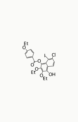 CCOc1ccc(C(=O)Oc2c(OCC)c(OCC)c(O)c3ccc(Cl)c(I)c23)cc1